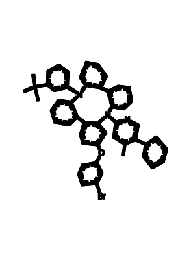 Cc1cc(N2c3ccccc3-c3ccccc3N(c3cccc(C(C)(C)C)c3)c3ccccc3-c3ccc(Oc4cccc(Br)c4)cc32)ncc1-c1ccccc1